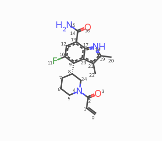 C=CC(=O)N1CCC[C@H](c2c(F)cc(C(N)=O)c3[nH]c(C)c(C)c23)C1